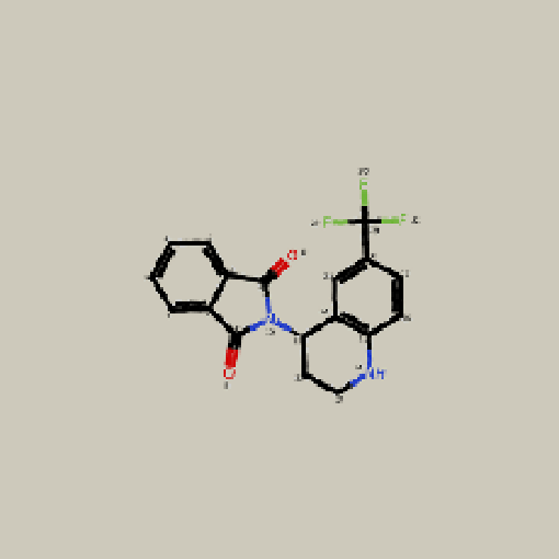 O=C1c2ccccc2C(=O)N1[C@@H]1CCNc2ccc(C(F)(F)F)cc21